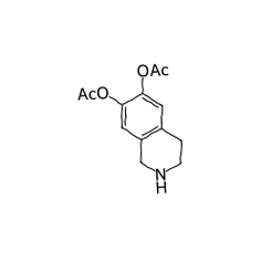 CC(=O)Oc1cc2c(cc1OC(C)=O)CNCC2